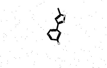 Cc1cc(-c2cccc(Cl)c2)no1